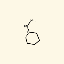 NN[SiH]1CCCCO1